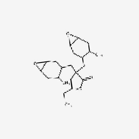 CCCCC(CC1CC2OC2CC1C)(CC1CC2OC2CC1C)C(=O)O